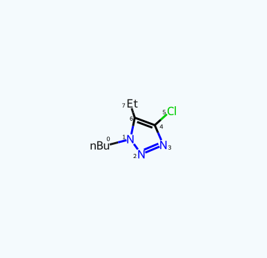 CCCCn1nnc(Cl)c1CC